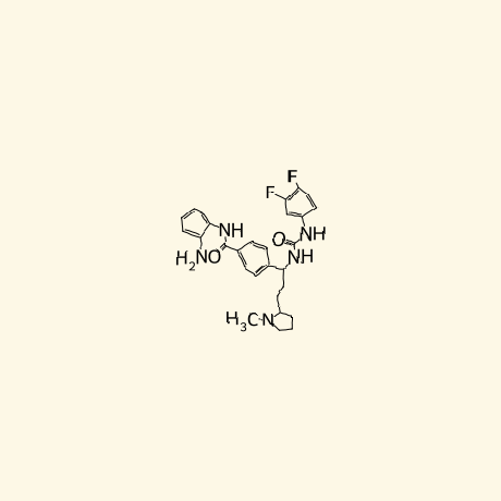 CN1CCCC1CCC(NC(=O)Nc1ccc(F)c(F)c1)c1ccc(C(=O)Nc2ccccc2N)cc1